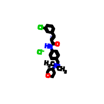 C[N+](C)(Cc1ccc(NC(=O)/C=C/c2cccc(Cl)c2)cc1)C1CCOCC1.[Cl-]